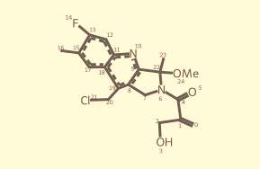 C=C(CO)C(=O)N1Cc2c(nc3cc(F)c(C)cc3c2CCl)C1(C)OC